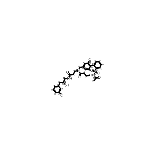 CCCC(=O)N(CCC(=O)NC[C@H](S)Cc1cccc(Cl)c1)Cc1ccc(-c2ccccc2S(=O)(=O)NC(C)=O)c(Cl)c1